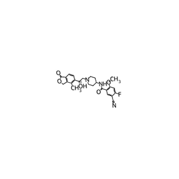 COc1cc(F)c(C#N)cc1C(=O)NC1CCN(C[C@H](O)c2ccc3c(c2C)COC3=O)CC1